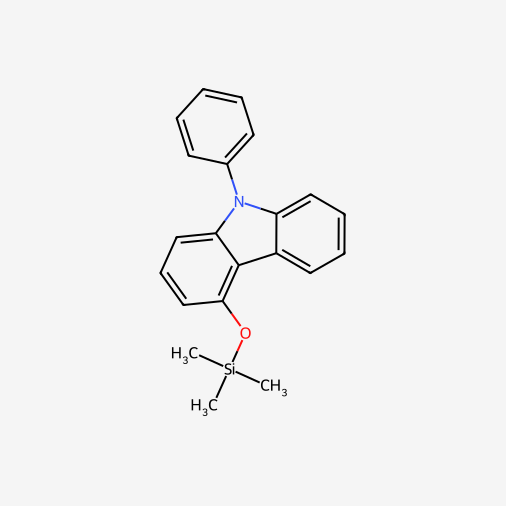 C[Si](C)(C)Oc1cccc2c1c1ccccc1n2-c1ccccc1